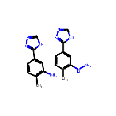 Cc1ccc(-c2nnc[nH]2)cc1N.Cc1ccc(-c2nnc[nH]2)cc1NN